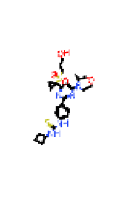 C[C@H]1COCCN1c1cc(C2(S(=O)(=O)CCCO)CC2)nc(-c2ccc(NC(=S)NC3CCC3)cc2)n1